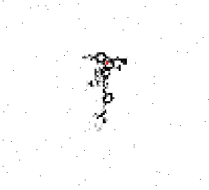 COC(=O)COc1cccc(COC[C@H]2C[C@@]34CC[C@]2(OC)[C@@H]2Oc5c(O)ccc6c5[C@@]23CCN(CC2CC2)[C@@H]4C6)c1